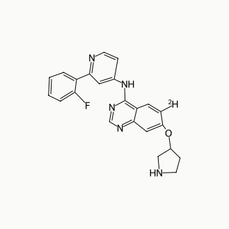 [2H]c1cc2c(Nc3ccnc(-c4ccccc4F)c3)ncnc2cc1OC1CCNC1